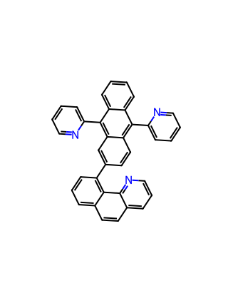 c1ccc(-c2c3ccccc3c(-c3ccccn3)c3cc(-c4cccc5ccc6cccnc6c45)ccc23)nc1